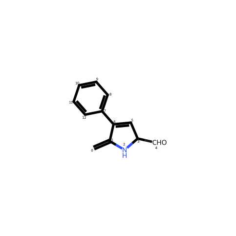 C=C1NC(C=O)C=C1c1ccccc1